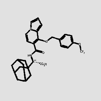 O=C(N[C@H](C(=O)O)C12CC3CC(CC(C3)C1)C2)c1ccn2cccc2c1OCc1ccc(OC(F)(F)F)cc1